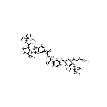 C=CCCN(CC(=O)Nc1cccc(C(=O)NCC(=O)c2ccc3nc([C@@H]4C(=C)CCN4C(=O)OC(C)(C)C)[nH]c3c2)c1)C(=O)OC(C)(C)C